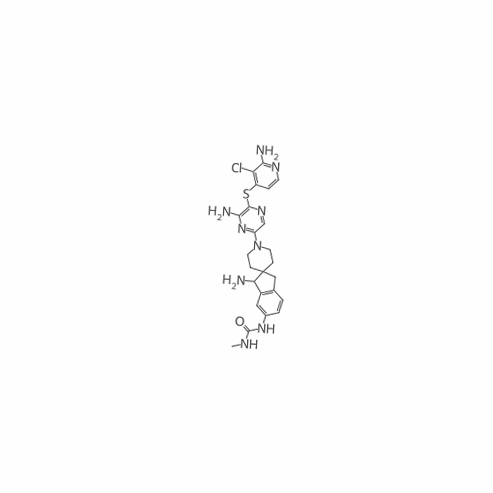 CNC(=O)Nc1ccc2c(c1)C(N)C1(CCN(c3cnc(Sc4ccnc(N)c4Cl)c(N)n3)CC1)C2